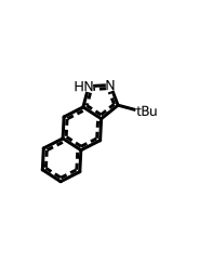 CC(C)(C)c1n[nH]c2cc3ccccc3cc12